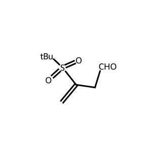 C=C(CC=O)S(=O)(=O)C(C)(C)C